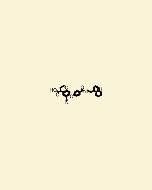 N#Cc1cc2c(cc1Oc1ccc(C(=O)NCCC3=CC=C[C@@H]4C=CC=CC34)cc1)OCCC2C(=O)O